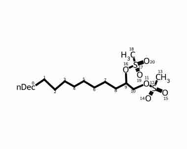 CCCCCCCCCCCCCCCCCCC(COS(C)(=O)=O)OS(C)(=O)=O